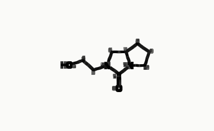 O=C1N(CCO)CC2CCCN12